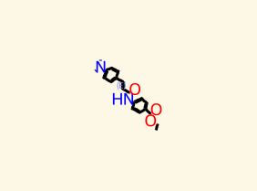 CCOC(=O)c1ccc(NC(=O)/C=C/c2ccc(N(C)C)cc2)cc1